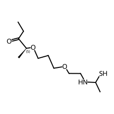 CCC(=O)[C@H](C)OCCCOCCNC(C)S